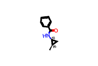 C[C@@H]1C[C@@H]1NC(=O)c1ccccc1